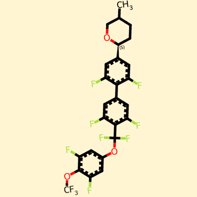 CC1CC[C@@H](c2cc(F)c(-c3cc(F)c(C(F)(F)Oc4cc(F)c(OC(F)(F)F)c(F)c4)c(F)c3)c(F)c2)OC1